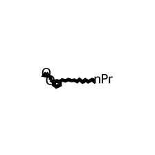 CCCC=CCC=CCCCCCCCc1cccc(OCC2CO2)c1